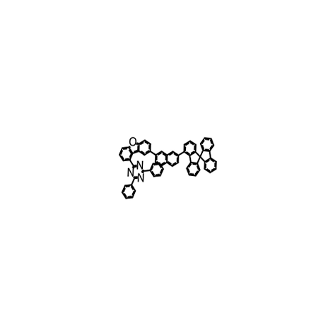 c1ccc(-c2nc(-c3ccccc3)nc(-c3cccc4oc5ccc(-c6ccc7ccc(-c8cccc9c8-c8ccccc8C98c9ccccc9-c9ccccc98)cc7c6)cc5c34)n2)cc1